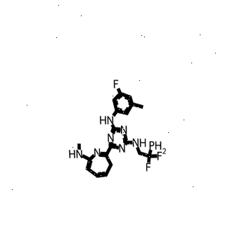 CNC1=CC=CCC(c2nc(NCC(F)(F)P)nc(Nc3cc(C)cc(F)c3)n2)=N1